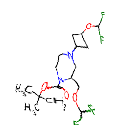 CC(C)(C)OC(=O)N1CCN(C2CC(OC(F)F)C2)C[C@H]1COC(F)F